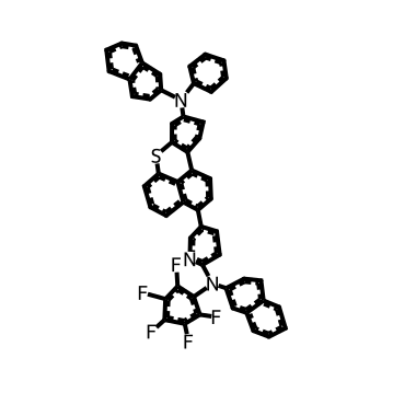 Fc1c(F)c(F)c(N(c2ccc3ccccc3c2)c2ccc(-c3ccc4c5c(cccc35)Sc3cc(N(c5ccccc5)c5ccc6ccccc6c5)ccc3-4)cn2)c(F)c1F